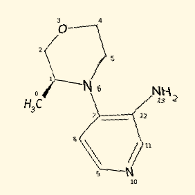 C[C@H]1COCCN1c1ccncc1N